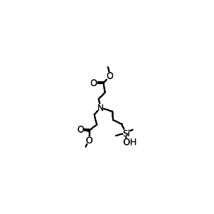 COC(=O)CCN(CCC[Si](C)(C)O)CCC(=O)OC